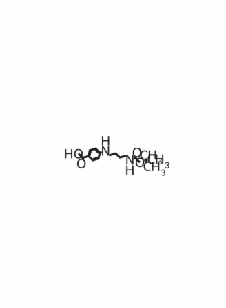 CC(C)(C)OC(=O)NCCCCNc1ccc(C(=O)O)cc1